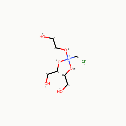 C[N+](OCCO)(OCCO)OCCO.[Cl-]